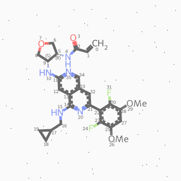 C=CC(=O)N[C@H]1COC[C@H]1Nc1cc2c(NCC3CC3)nc(-c3c(F)c(OC)cc(OC)c3F)cc2cn1